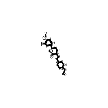 CCCC1CCC(CCC2CCC(c3ccc(OC)c(F)c3)OC2=O)CC1